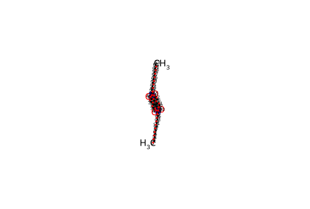 CCCCCCCCCCCCCCCCCCN1C(=O)c2ccc3c4ccc5c6c(ccc(c7ccc(c2c37)C1=O)c64)C(=O)N(CCCCCCCCCCCCCCCCCC)C5=O